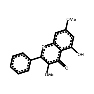 COc1cc(O)c2c(=O)c(OC)c(-c3ccccc3)oc2c1